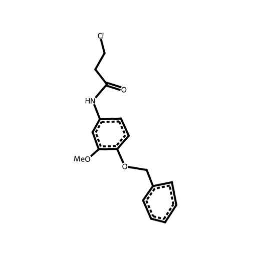 COc1cc(NC(=O)CCCl)ccc1OCc1ccccc1